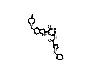 CC1CCN(Cc2ccc3[nH]c(-c4cc(NC(=O)c5cnn([C@@H](C)C6=CCCC=C6)c5)c[nH]c4=O)cc3c2)CC1